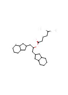 CC(C)CCCC(=O)OC(CC1CC2CCCCC2C1)CC1CC2CCCCC2C1